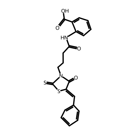 O=C(CCCN1C(=O)/C(=C/c2ccccc2)SC1=S)Nc1ccccc1C(=O)O